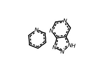 c1ccncc1.c1ncc2[nH]nnc2n1